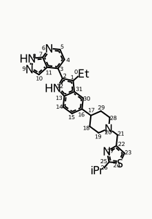 CCc1c(-c2ccnc3[nH]ncc23)[nH]c2ccc(C3CCN(Cc4csc(C(C)C)n4)CC3)cc12